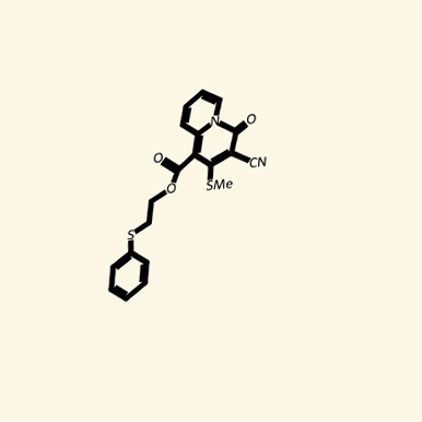 CSc1c(C#N)c(=O)n2ccccc2c1C(=O)OCCSc1ccccc1